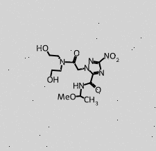 COC(C)NC(=O)c1nc([N+](=O)[O-])nn1CC(=O)N(CCO)CCO